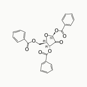 O=C(OC[C@H]1O[C@@H](OC(=O)c2ccccc2)C(=O)[C@@H]1OC(=O)c1ccccc1)c1ccccc1